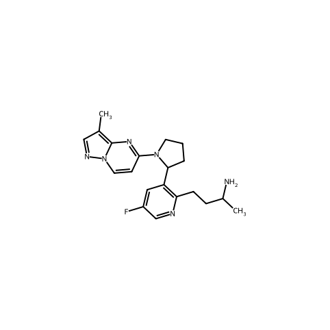 Cc1cnn2ccc(N3CCCC3c3cc(F)cnc3CCC(C)N)nc12